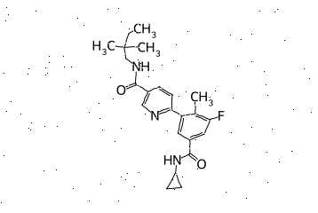 CCC(C)(C)CNC(=O)c1ccc(-c2cc(C(=O)NC3CC3)cc(F)c2C)nc1